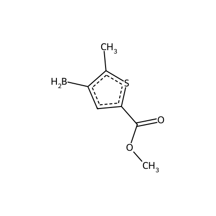 Bc1cc(C(=O)OC)sc1C